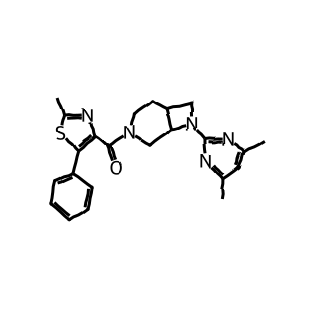 Cc1cc(C)nc(N2CC3CCN(C(=O)c4nc(C)sc4-c4ccccc4)CC32)n1